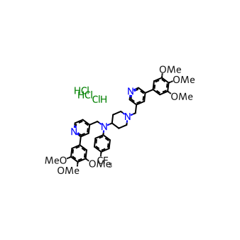 COc1cc(-c2cncc(CN3CCC(N(Cc4ccnc(-c5cc(OC)c(OC)c(OC)c5)c4)c4ccc(C(F)(F)F)cc4)CC3)c2)cc(OC)c1OC.Cl.Cl.Cl